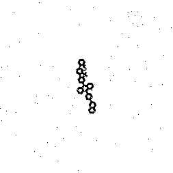 CC1(C)c2cc(-c3c4ccccc4c(-c4ccc(-c5ccc6ccccc6c5)cc4)c4ccccc34)ccc2-c2ccc3c(sc4ccccc43)c21